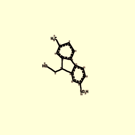 Cc1ccc2c(c1)C(CO)c1cc(S(=O)(=O)O)ccc1-2